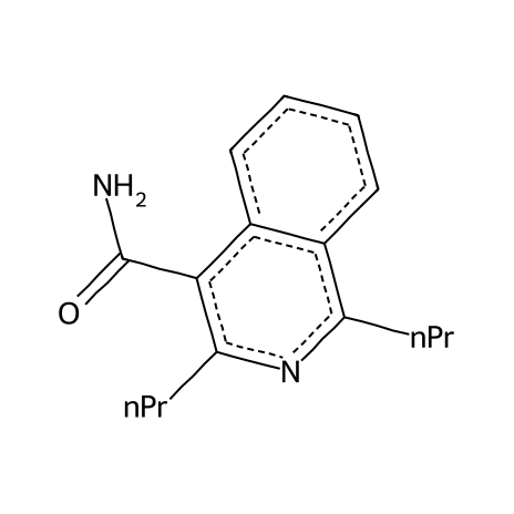 CCCc1nc(CCC)c2ccccc2c1C(N)=O